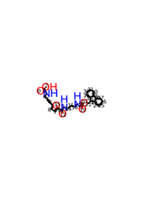 O=C(O)NCC#Cc1ccc(C(=O)NCCCNC(=O)OCC2c3ccccc3-c3ccccc32)o1